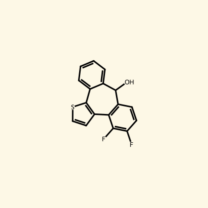 OC1c2ccccc2-c2sccc2-c2c1ccc(F)c2F